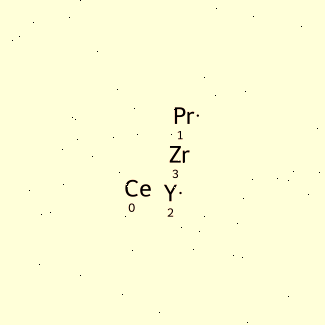 [Ce].[Pr].[Y].[Zr]